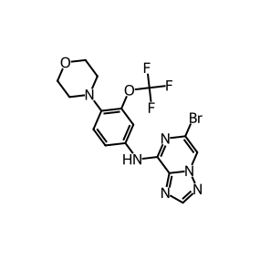 FC(F)(F)Oc1cc(Nc2nc(Br)cn3ncnc23)ccc1N1CCOCC1